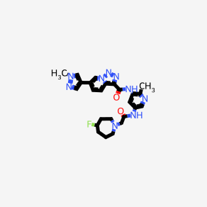 Cc1ncc(NC(=O)CN2CCCC(F)CC2)cc1NC(=O)c1nnn2cc(-c3cnn(C)c3)ccc12